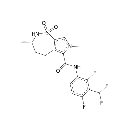 C[C@H]1CCc2c(cn(C)c2C(=O)Nc2ccc(F)c(C(F)F)c2F)S(=O)(=O)N1